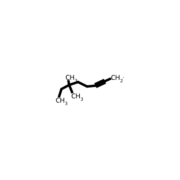 [CH2]C#CCCC(C)(C)CC